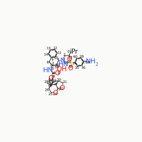 CC(C)CCN(C[C@@H](O)[C@H](Cc1ccccc1)NC(=O)OC1C2COC3OCC1[C@H](C)C32)NS(=O)(=O)c1ccc(N)cc1